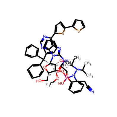 CO[C@@H]1[C@](OC)(OP(O)N(CCC#N)N(C(C)C)C(C)C)[C@@H](CO)O[C@]1(n1c(NC(=O)COc2ccccc2)nc2c(-c3ccc(-c4cccs4)s3)ncnc21)C(c1ccccc1)(c1ccccc1)c1ccccc1